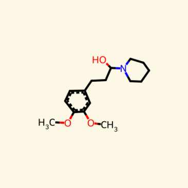 COc1ccc(CCC(O)N2CCCCC2)cc1OC